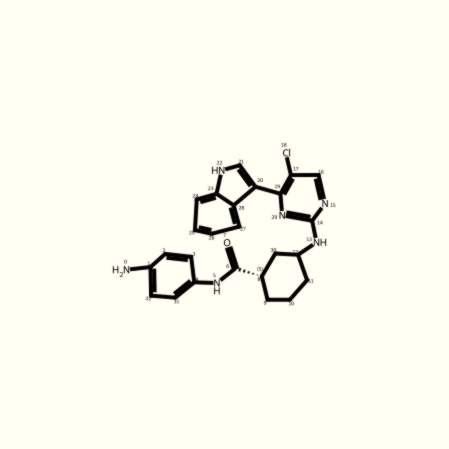 Nc1ccc(NC(=O)[C@H]2CCCC(Nc3ncc(Cl)c(-c4c[nH]c5ccccc45)n3)C2)cc1